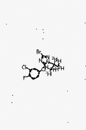 [2H]C([2H])([2H])C([2H])(n1nc(Br)nc1Oc1ccc(F)c(Cl)c1)C([2H])([2H])[2H]